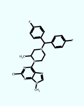 CC1CN(C(c2ccc(F)cc2)c2ccc(F)cc2)CCN1c1nc(Cl)nc2c1ncn2C